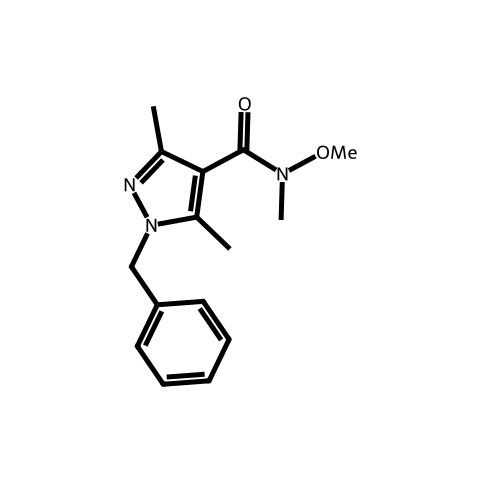 CON(C)C(=O)c1c(C)nn(Cc2ccccc2)c1C